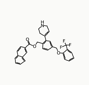 O=C(OCc1ccc(COc2ccccc2C(F)(F)F)cc1C1=CCNCC1)c1ccc2ccccc2c1